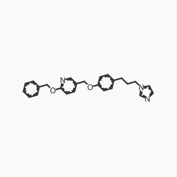 c1ccc(COc2ccc(COc3ccc(CCCn4ccnc4)cc3)cn2)cc1